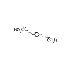 CC(C)(CCCCCc1ccc(CCCCC(C)(C)C(=O)O)cc1)C(=O)O